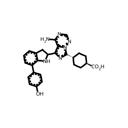 Nc1ncnn2c1c(C1Cc3cccc(-c4ccc(O)cc4)c3N1)nc2[C@H]1CC[C@H](C(=O)O)CC1